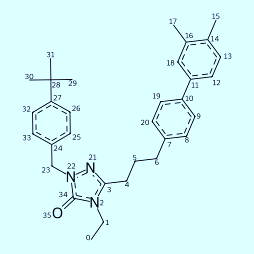 CCn1c(CCCc2ccc(-c3ccc(C)c(C)c3)cc2)nn(Cc2ccc(C(C)(C)C)cc2)c1=O